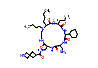 CCCCC1C(=O)N(C)C(CCC)C(=O)NC(C2CCCCC2)C(=O)NC(CN)C(=O)NC(CNC(=O)C2CC3(CNC3)C2)C(=O)NCCN1CCCC